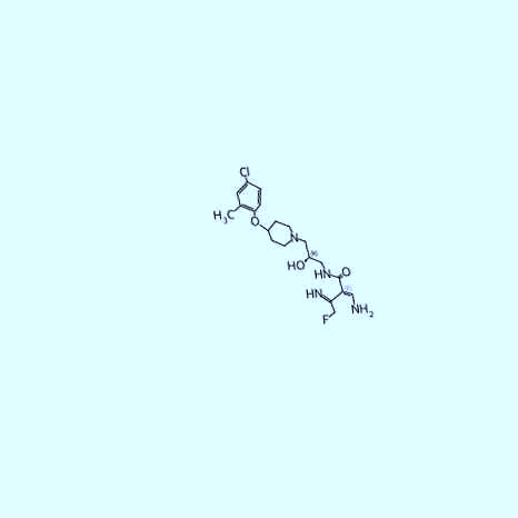 Cc1cc(Cl)ccc1OC1CCN(C[C@H](O)CNC(=O)/C(=C/N)C(=N)CF)CC1